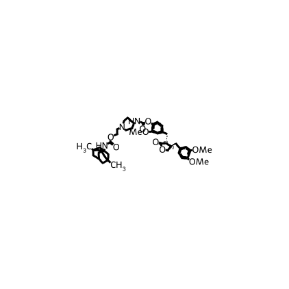 COc1ccc(C[C@H]2COC(=O)[C@@H]2Cc2ccc(OC(=O)NC3CCN(CCOC(=O)NC45CC6CC(C)(CC(C)(C6)C4)C5)CC3)c(OC)c2)cc1OC